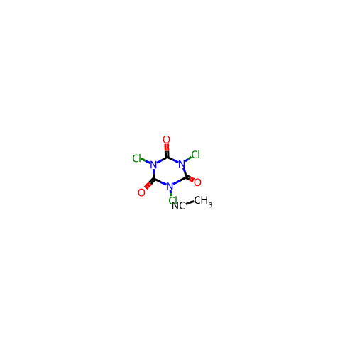 CC#N.O=c1n(Cl)c(=O)n(Cl)c(=O)n1Cl